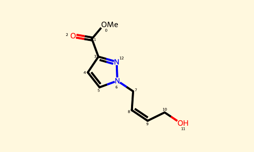 COC(=O)c1ccn(C/C=C\CO)n1